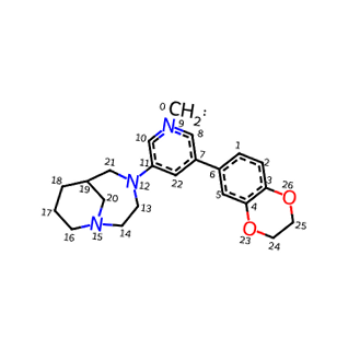 [CH2].c1cc2c(cc1-c1cncc(N3CCN4CCCC(C4)C3)c1)OCCO2